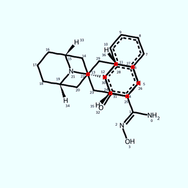 N/C(=N\O)c1nc2ccccc2n([C@H]2C[C@H]3CCC[C@@H](C2)N3C2C[C@H]3CCC[C@@H](C2)C3)c1=O